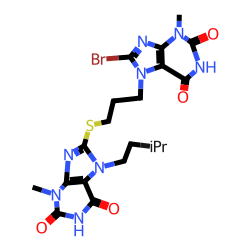 CC(C)CCn1c(SCCCn2c(Br)nc3c2c(=O)[nH]c(=O)n3C)nc2c1c(=O)[nH]c(=O)n2C